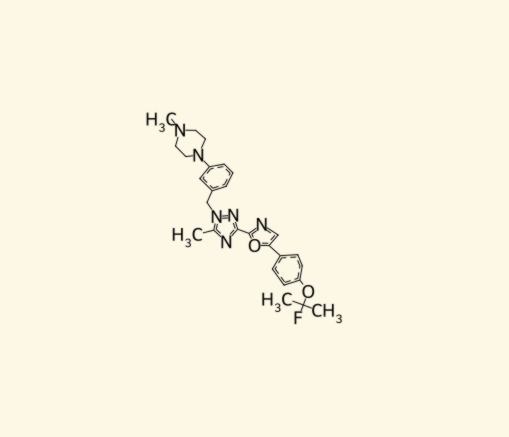 Cc1nc(-c2ncc(-c3ccc(OC(C)(C)F)cc3)o2)nn1Cc1cccc(N2CCN(C)CC2)c1